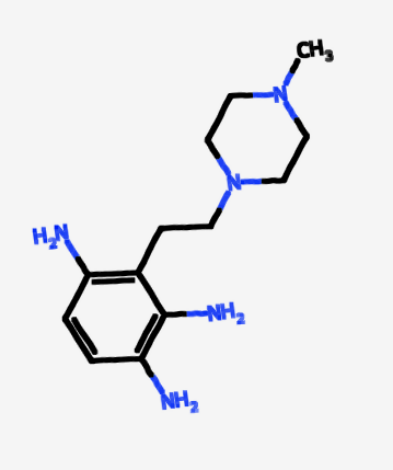 CN1CCN(CCc2c(N)ccc(N)c2N)CC1